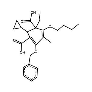 CCCCOC1=C(C)C(OCc2ccccc2)=C(C(=O)O)C(C2CC2)C1(CCl)C(=O)O